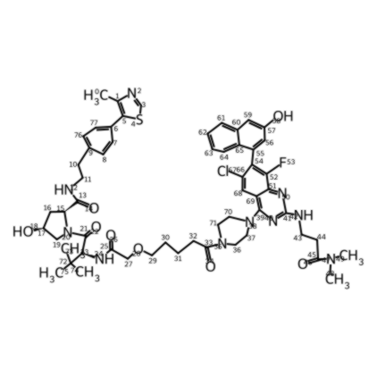 Cc1ncsc1-c1ccc(CCNC(=O)[C@@H]2C[C@H](O)CN2C(=O)[C@@H](NC(=O)COCCCCC(=O)N2CCN(c3nc(NCCC(=O)N(C)C)nc4c(F)c(-c5cc(O)cc6ccccc56)c(Cl)cc34)CC2)C(C)(C)C)cc1